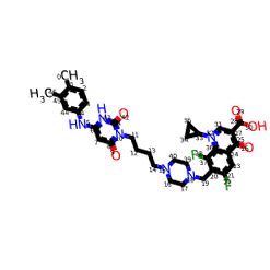 Cc1ccc(Nc2cc(=O)n(CCCCN3CCN(Cc4c(F)cc5c(=O)c(C(=O)O)cn(C6CC6)c5c4F)CC3)c(=O)[nH]2)cc1C